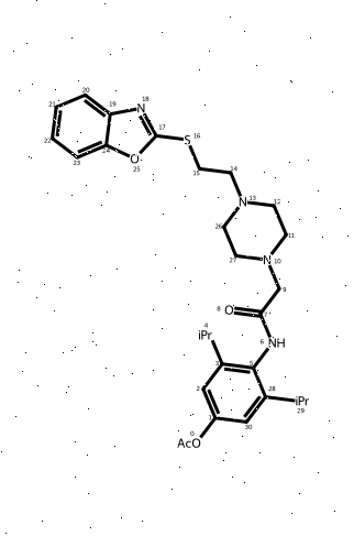 CC(=O)Oc1cc(C(C)C)c(NC(=O)CN2CCN(CCSc3nc4ccccc4o3)CC2)c(C(C)C)c1